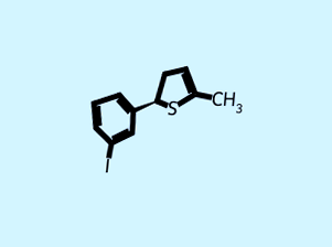 CC1=CC[C@H](c2cccc(I)c2)S1